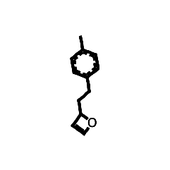 Cc1ccc(CCC2C=CO2)cc1